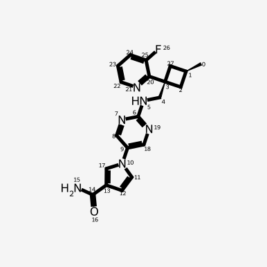 C[C@H]1C[C@](CNc2ncc(-n3ccc(C(N)=O)c3)cn2)(c2ncccc2F)C1